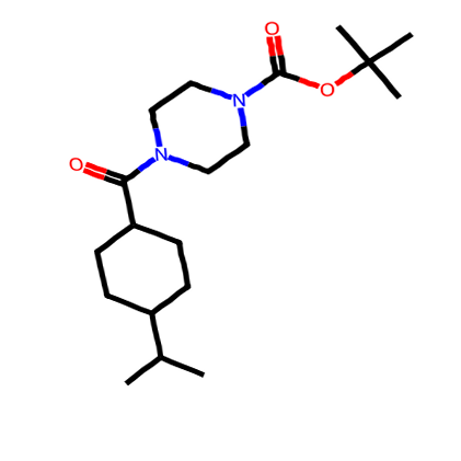 CC(C)C1CCC(C(=O)N2CCN(C(=O)OC(C)(C)C)CC2)CC1